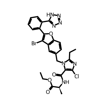 CCOC(=O)[C@H](C)NC(=O)c1c(Cl)nc(CC)n1Cc1ccc2oc(-c3ccccc3-c3nnn[nH]3)c(Br)c2c1